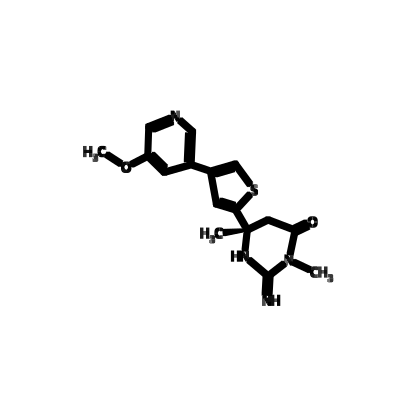 COc1cncc(-c2csc([C@]3(C)CC(=O)N(C)C(=N)N3)c2)c1